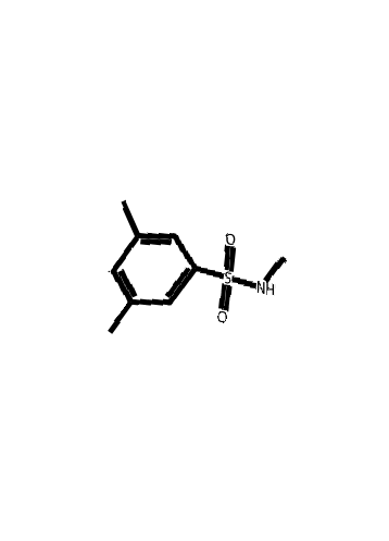 CNS(=O)(=O)c1cc(C)[c]c(C)c1